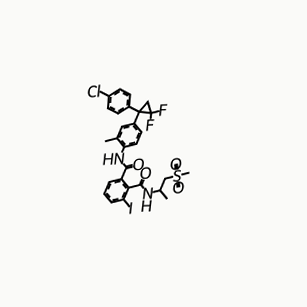 Cc1cc(C2(c3ccc(Cl)cc3)CC2(F)F)ccc1NC(=O)c1cccc(I)c1C(=O)NC(C)CS(C)(=O)=O